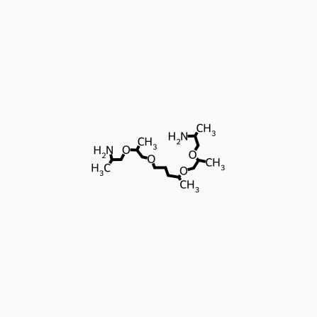 CC(N)COC(C)COCCCC(C)OCC(C)OCC(C)N